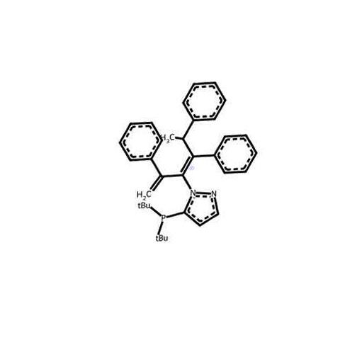 C=C(/C(=C(/c1ccccc1)C(C)c1ccccc1)n1nccc1P(C(C)(C)C)C(C)(C)C)c1ccccc1